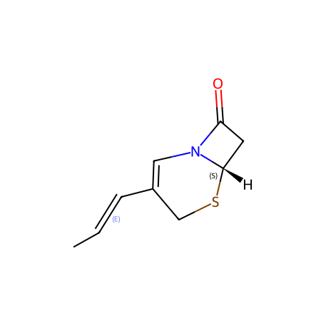 C/C=C/C1=CN2C(=O)C[C@@H]2SC1